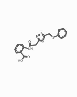 O=C(Cc1noc(CSc2ccccc2)n1)Nc1ccccc1C(=O)O